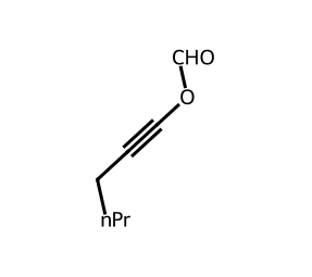 CCCCC#COC=O